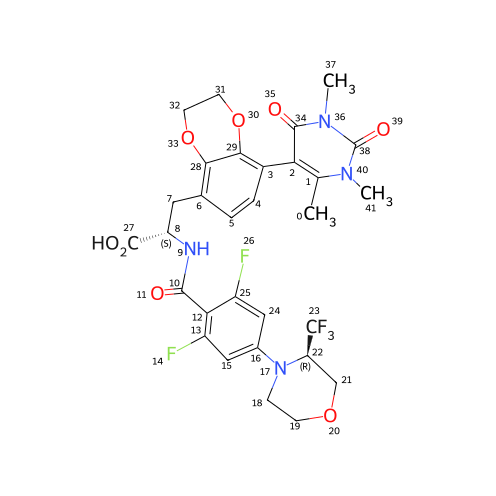 Cc1c(-c2ccc(C[C@H](NC(=O)c3c(F)cc(N4CCOC[C@@H]4C(F)(F)F)cc3F)C(=O)O)c3c2OCCO3)c(=O)n(C)c(=O)n1C